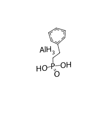 O=P(O)(O)CCc1ccccc1.[AlH3]